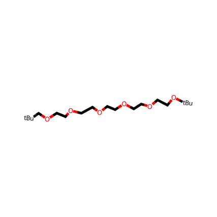 CC(C)(C)COCCOCCOCCOCCOCCOC(C)(C)C